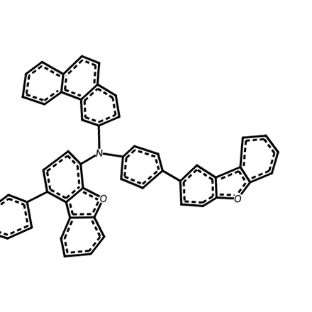 c1ccc(-c2ccc(N(c3ccc(-c4ccc5oc6ccccc6c5c4)cc3)c3ccc4ccc5ccccc5c4c3)c3oc4ccccc4c23)cc1